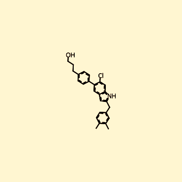 Cc1ccc(Cc2cc3cc(-c4ccc(CCCO)cc4)c(Cl)cc3[nH]2)cc1C